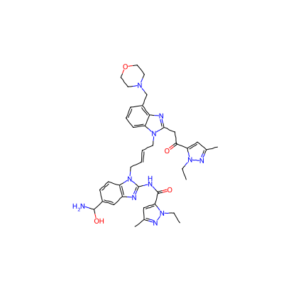 CCn1nc(C)cc1C(=O)Cc1nc2c(CN3CCOCC3)cccc2n1C/C=C/Cn1c(NC(=O)c2cc(C)nn2CC)nc2cc(C(N)O)ccc21